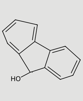 O[C]1c2ccccc2-c2ccccc21